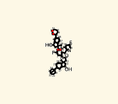 O=C(c1ncc(F)cc1N1CCC2(CC(O)c3cc(C45CCC(CC4)CC5)ccc32)C1)c1ncc(F)cc1N1CCC2(CC(O)c3cc(C45CCC(CC4)CC5)ccc32)C1